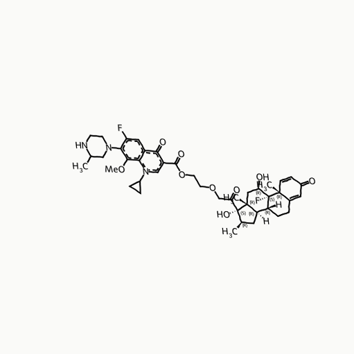 COc1c(N2CCNC(C)C2)c(F)cc2c(=O)c(C(=O)OCCOCC(=O)[C@]3(O)[C@H](C)C[C@@H]4[C@H]5CCC6=CC(=O)C=C[C@@]6(C)[C@]5(F)[C@H](O)C[C@]43C)cn(C3CC3)c12